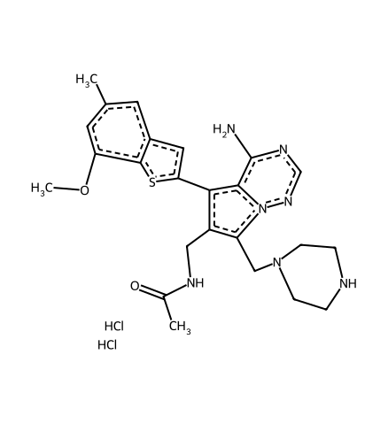 COc1cc(C)cc2cc(-c3c(CNC(C)=O)c(CN4CCNCC4)n4ncnc(N)c34)sc12.Cl.Cl